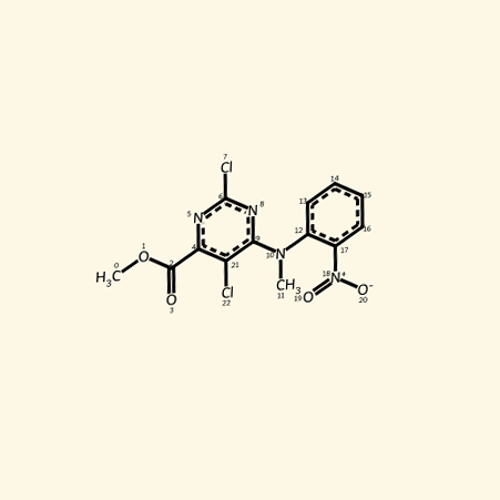 COC(=O)c1nc(Cl)nc(N(C)c2ccccc2[N+](=O)[O-])c1Cl